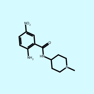 CN1CCC(NC(=O)c2cc([N+](=O)[O-])ccc2N)CC1